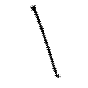 COS(=S)(=S)SSSSSSSSSSSSSSSSSSSSSSSSSSSSSSSSSSSSSSSSSSSSSSSSSSSSSSSSSS